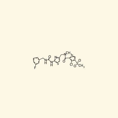 CN(Cc1csc(NC(=O)NCc2cccc(F)c2)n1)C(=O)c1scc(S(C)(=O)=O)c1Cl